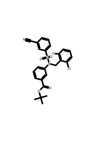 CC(C)(C)OC(=O)c1cccc(N(Cc2c(Cl)cccc2Cl)S(=O)(=O)c2cccc(C#N)c2)c1